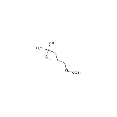 CC(C)(C#N)CCCOS(=O)(=O)O